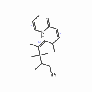 C=C(/C=C\C(C)/C=C(/C)C(C)(C)C(C)CC(C)C)N/C=C\C